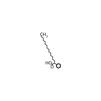 CCCCCCCCCCCCCCCC(C(=O)O)c1ccccc1